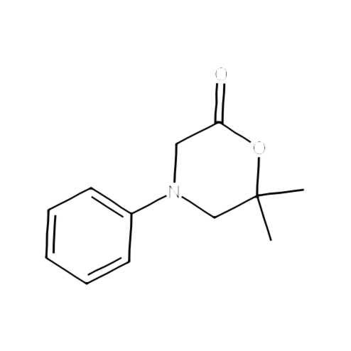 CC1(C)CN(c2ccccc2)CC(=O)O1